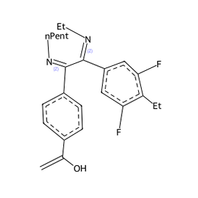 C=C(O)c1ccc(C(=N/CCCCC)/C(=N\CC)c2cc(F)c(CC)c(F)c2)cc1